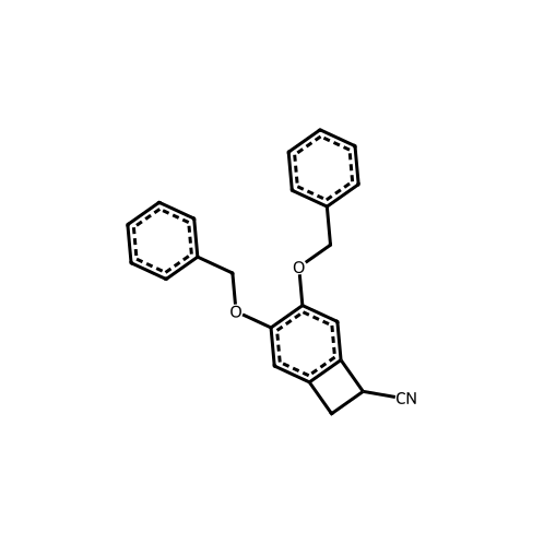 N#CC1Cc2cc(OCc3ccccc3)c(OCc3ccccc3)cc21